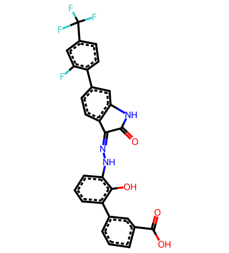 O=C1Nc2cc(-c3ccc(C(F)(F)F)cc3F)ccc2C1=NNc1cccc(-c2cccc(C(=O)O)c2)c1O